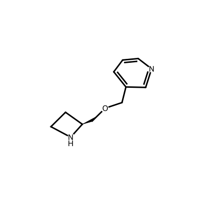 c1cncc(COC[C@@H]2CCN2)c1